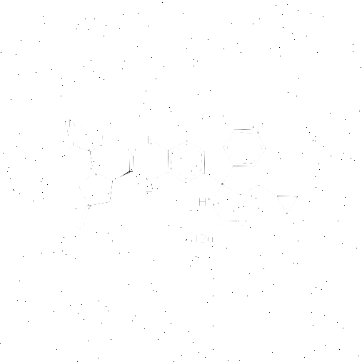 CC(C)(C)OC(=O)N1CC(=O)C[C@@H]1C(=O)Nc1cc(C(CCC2CC2)(N[S@+]([O-])C(C)(C)C)c2ccncc2)ccc1F